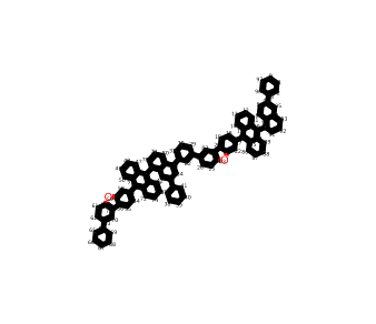 c1ccc(-c2ccc3c(-c4c5ccccc5c(-c5ccc6c(c5)oc5ccc(-c7cccc(-c8cc(-c9ccccc9)cc9c(-c%10c%11ccccc%11c(-c%11ccc%12c(c%11)oc%11ccc(-c%13ccccc%13)cc%11%12)c%11ccccc%10%11)cccc89)c7)cc56)c5ccccc45)cccc3c2)cc1